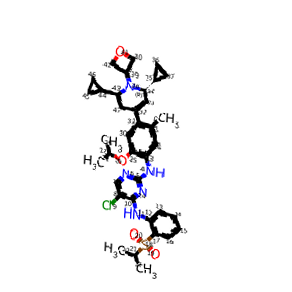 Cc1cc(Nc2ncc(Cl)c(Nc3ccccc3S(=O)(=O)C(C)C)n2)c(OC(C)C)cc1C1=C[C@@H](C2CC2)N(C2COC2)C(C2CC2)C1